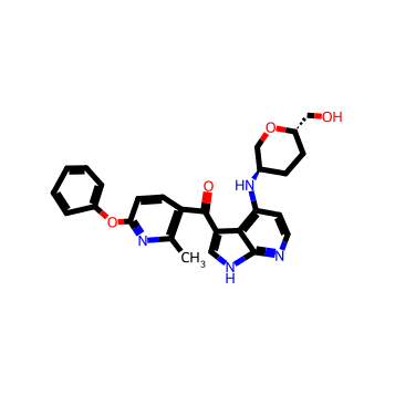 Cc1nc(Oc2ccccc2)ccc1C(=O)c1c[nH]c2nccc(N[C@@H]3CC[C@@H](CO)OC3)c12